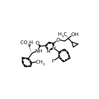 Cc1ccccc1[C@H](CC(=O)O)NC(=O)c1cc(OC[C@@](C)(O)C2CC2)n(-c2ccccc2F)n1